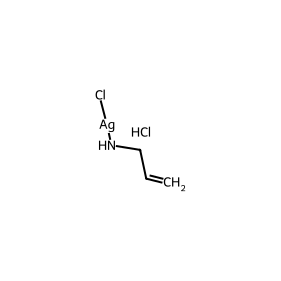 C=CC[NH][Ag][Cl].Cl